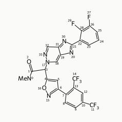 CNC(=O)C(c1cc(-c2ccc(C(F)(F)F)cc2C(F)(F)F)no1)n1cc2nc(-c3cccc(F)c3F)nc-2cn1